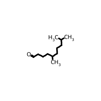 CC(C)CCCC(C)CCCC=O